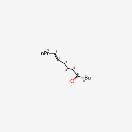 CCCC=CCCCC(=O)CCCC